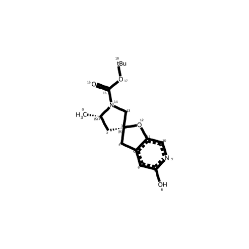 C[C@H]1C[C@]2(Cc3cc(O)ncc3O2)CN1C(=O)OC(C)(C)C